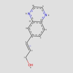 OC/C=C/c1ccc2nccnc2c1